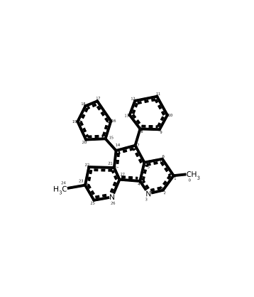 Cc1cnc2c(c1)c(-c1ccccc1)c(-c1ccccc1)c1cc(C)cnc12